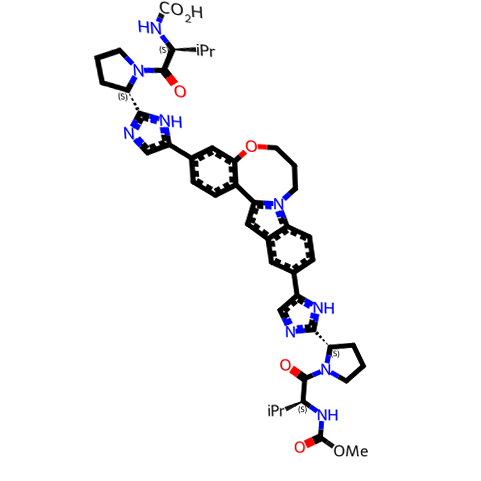 COC(=O)N[C@H](C(=O)N1CCC[C@H]1c1ncc(-c2ccc3c(c2)cc2n3CCCOc3cc(-c4cnc([C@@H]5CCCN5C(=O)[C@@H](NC(=O)O)C(C)C)[nH]4)ccc3-2)[nH]1)C(C)C